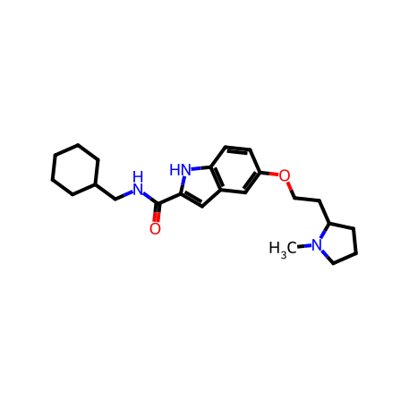 CN1CCCC1CCOc1ccc2[nH]c(C(=O)NCC3CCCCC3)cc2c1